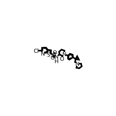 O=C1C(NS(=O)(=O)c2cc3ccc(Cl)nc3s2)CCCN1c1ccc(C2(CN3CCCC3)CC2)cc1